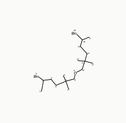 CCC(C)C(C)CCC(C)(C)COCC(C)(C)CCC(C)C(C)CC